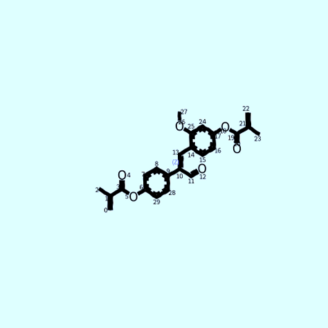 C=C(C)C(=O)Oc1ccc(/C(C=O)=C/c2ccc(OC(=O)C(=C)C)cc2OC)cc1